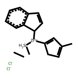 CC.C[SiH2][Zr+2]([C]1=CC(C)=CC1)[CH]1C=Cc2ccccc21.[Cl-].[Cl-]